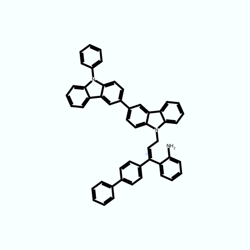 Nc1ccccc1/C(=C\Cn1c2ccccc2c2cc(-c3ccc4c(c3)c3ccccc3n4-c3ccccc3)ccc21)c1ccc(-c2ccccc2)cc1